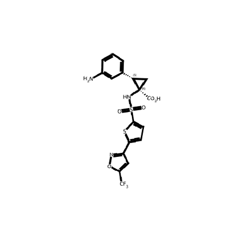 Nc1cccc([C@@H]2C[C@]2(NS(=O)(=O)c2ccc(-c3cc(C(F)(F)F)on3)s2)C(=O)O)c1